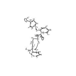 CN(C)C1(c2ccccn2)CCC(NC(=O)c2cccnc2Sc2ccc(Cl)cc2)CC1